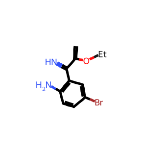 C=C(OCC)C(=N)c1cc(Br)ccc1N